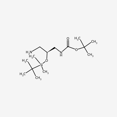 CC(C)(C)OC(=O)NC[C@H](CN)O[Si](C)(C)C(C)(C)C